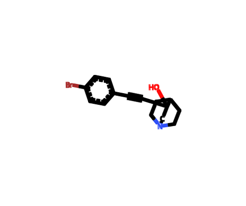 OC1(C#Cc2ccc(Br)cc2)CN2CCC1CC2